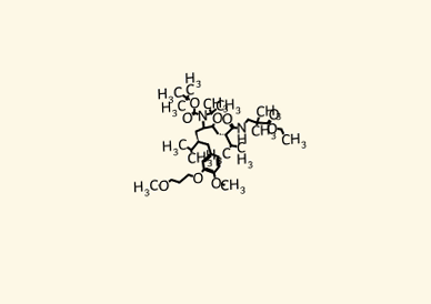 CCOC(=O)C(C)(C)CNC(=O)[C@@H](CC1OC(C)(C)N(C(=O)OC(C)(C)C)C1C[C@@H](Cc1ccc(OC)c(OCCCOC)c1)C(C)C)C(C)C